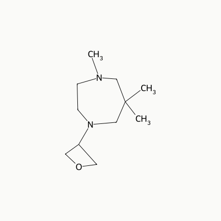 CN1CCN(C2COC2)CC(C)(C)C1